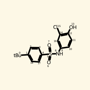 CC(C)(C)c1ccc(S(=O)(=O)Nc2ccc(O)c(Cl)c2)cc1